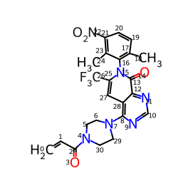 C=CC(=O)N1CCN(c2ncnc3c(=O)n(-c4c(C)ccc([N+](=O)[O-])c4C)c(C(F)(F)F)cc23)CC1